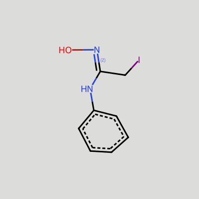 O/N=C(/CI)Nc1ccccc1